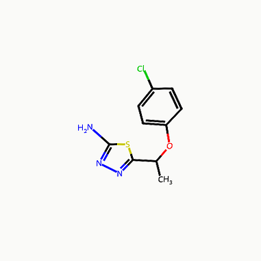 CC(Oc1ccc(Cl)cc1)c1nnc(N)s1